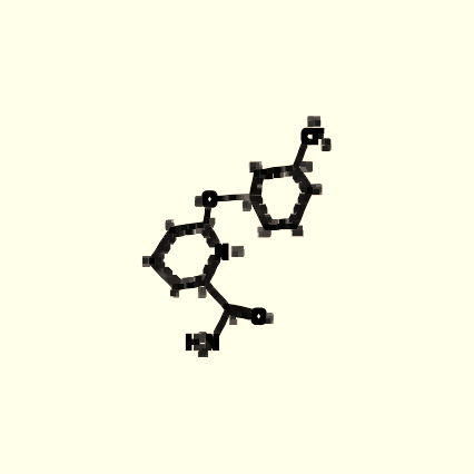 NC(=O)c1cccc(Oc2cccc(C(F)(F)F)c2)n1